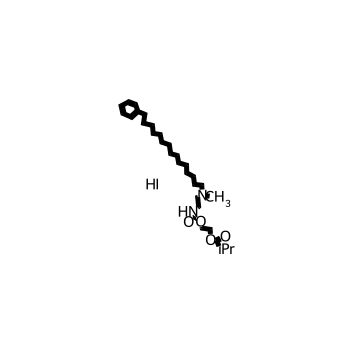 CC(C)C(=O)OCCOC(=O)NCCN(C)CCCCCCCCCCCCCCCc1ccccc1.I